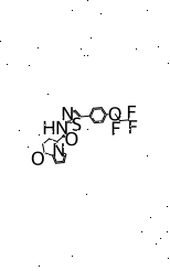 O=C1CCC(C(=O)Nc2ncc(-c3ccc(OC(F)C(F)F)cc3)s2)n2cccc21